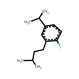 CC(C)CCc1cc(C(C)C)ccc1F